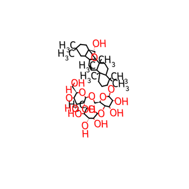 C[C@@H]1O[C@@H](O[C@@H]2[C@H](O)[C@@H](O)[C@H](O[C@H]3CC[C@@]4(C)C(CC[C@]5(C)C4C=C[C@]46OC[C@@]7(CCC(C)(C)CC74)[C@@H](O)C[C@]65C)C3(C)C)O[C@@H]2CO[C@@H]2O[C@H](CO)[C@@H](O)[C@H](O)[C@H]2O)[C@H](O)[C@H](O)[C@H]1O